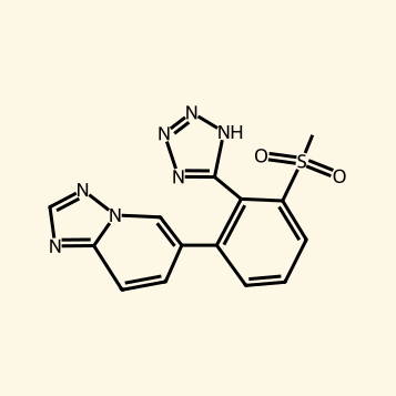 CS(=O)(=O)c1cccc(-c2ccc3ncnn3c2)c1-c1nnn[nH]1